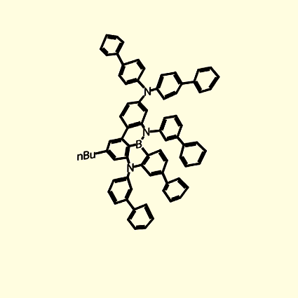 CCCCc1cc2c3c(c1)N(c1cccc(-c4ccccc4)c1)c1cc(-c4ccccc4)ccc1B3N(c1cccc(-c3ccccc3)c1)c1cc(N(c3ccc(-c4ccccc4)cc3)c3ccc(-c4ccccc4)cc3)ccc1-2